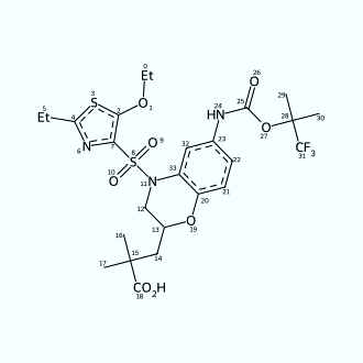 CCOc1sc(CC)nc1S(=O)(=O)N1CC(CC(C)(C)C(=O)O)Oc2ccc(NC(=O)OC(C)(C)C(F)(F)F)cc21